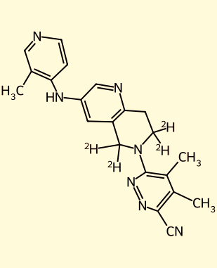 [2H]C1([2H])Cc2ncc(Nc3ccncc3C)cc2C([2H])([2H])N1c1nnc(C#N)c(C)c1C